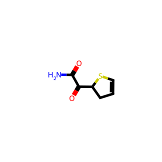 NC(=O)C(=O)C1CC=CS1